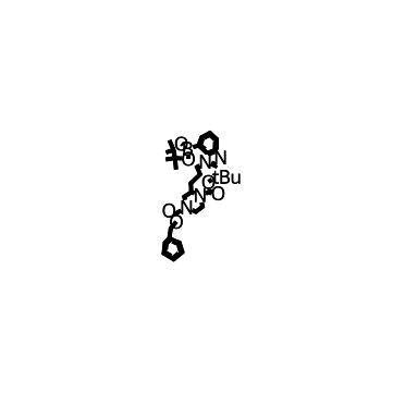 CC(C)(C)OC(=O)N1CCN(C(=O)OCc2ccccc2)CC1CCCn1cnc2cccc(B3OC(C)(C)C(C)(C)O3)c21